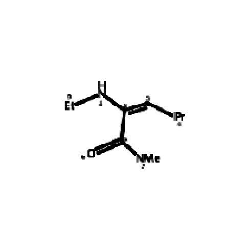 CCNC(=CC(C)C)C(=O)NC